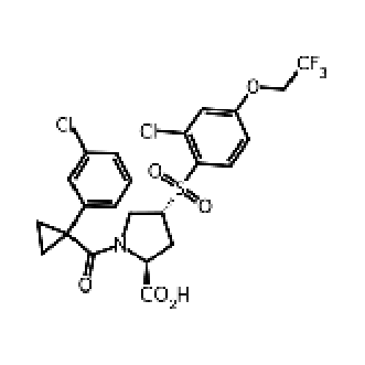 O=C(O)[C@@H]1C[C@@H](S(=O)(=O)c2ccc(OCC(F)(F)F)cc2Cl)CN1C(=O)C1(c2cccc(Cl)c2)CC1